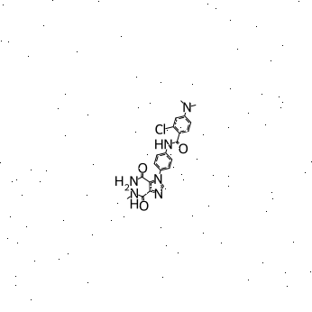 CNC(=O)c1ncn(-c2ccc(NC(=O)c3ccc(N(C)C)cc3Cl)cc2)c1C(N)=O